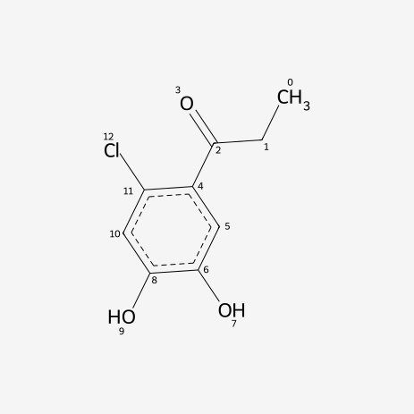 CCC(=O)c1cc(O)c(O)cc1Cl